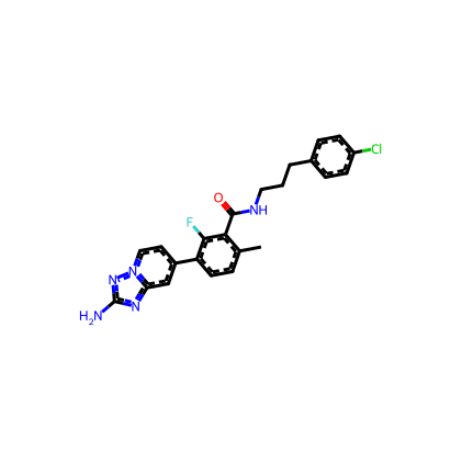 Cc1ccc(-c2ccn3nc(N)nc3c2)c(F)c1C(=O)NCCCc1ccc(Cl)cc1